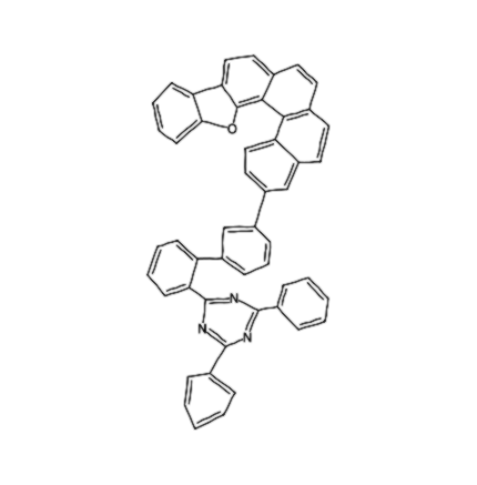 c1ccc(-c2nc(-c3ccccc3)nc(-c3ccccc3-c3cccc(-c4ccc5c(ccc6ccc7ccc8c9ccccc9oc8c7c65)c4)c3)n2)cc1